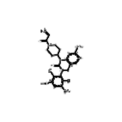 C=CC(=O)N1CCC(N2C(=O)N(c3c(Cl)c(OC)cc(OC)c3Cl)Cc3cnc(NC)nc32)CC1